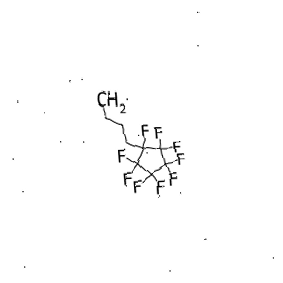 [CH2]CCCC1(F)C(F)(F)C(F)(F)C(F)(F)C1(F)F